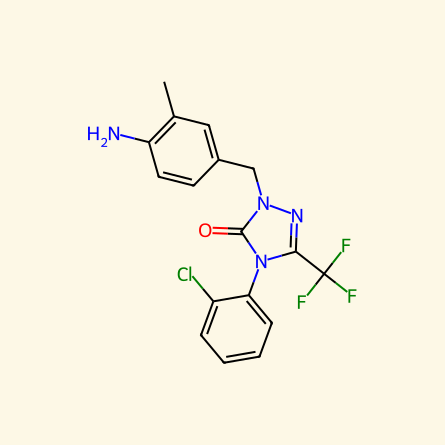 Cc1cc(Cn2nc(C(F)(F)F)n(-c3ccccc3Cl)c2=O)ccc1N